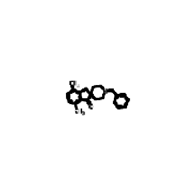 Cc1ccc(C)c2c1CC1(CCN(Cc3ccccc3)CC1)C2=O